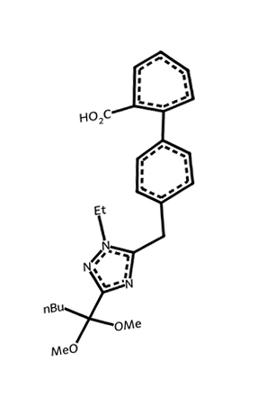 CCCCC(OC)(OC)c1nc(Cc2ccc(-c3ccccc3C(=O)O)cc2)n(CC)n1